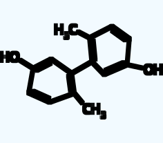 Cc1ccc(O)cc1-c1cc(O)ccc1C